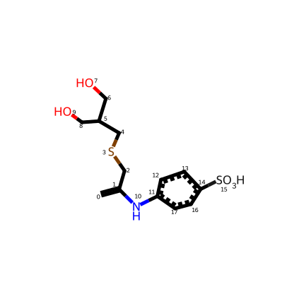 C=C(CSCC(CO)CO)Nc1ccc(S(=O)(=O)O)cc1